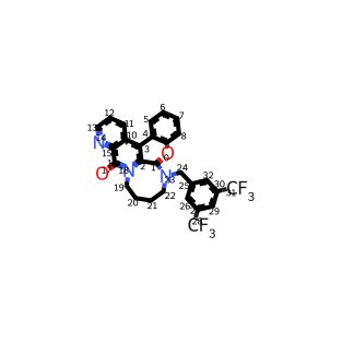 O=C1c2c(-c3ccccc3)c3cccnc3c(=O)n2CCCCN1Cc1cc(C(F)(F)F)cc(C(F)(F)F)c1